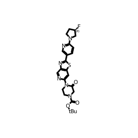 CC(C)(C)OC(=O)N1CCN(c2cc3sc(-c4ccc(N5CC[C@@H](F)C5)nc4)nc3cn2)C(=O)C1